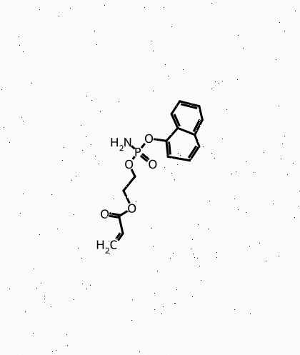 C=CC(=O)OCCOP(N)(=O)Oc1cccc2ccccc12